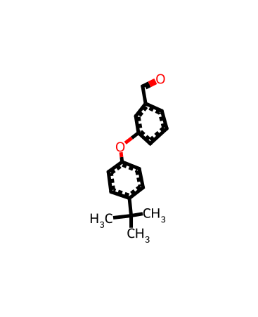 CC(C)(C)c1ccc(Oc2cccc(C=O)c2)cc1